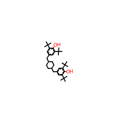 CC(C)(C)c1cc(CC2CCC(Cc3cc(C(C)(C)C)c(O)c(C(C)(C)C)c3)CC2)cc(C(C)(C)C)c1O